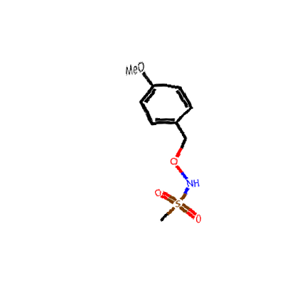 COc1ccc(CONS(C)(=O)=O)cc1